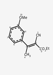 CCOC(=O)C(C#N)=C(C)c1cccc(OC)c1